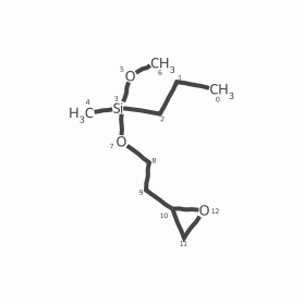 CCC[Si](C)(OC)OCCC1CO1